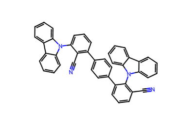 N#Cc1cccc(-c2ccc(-c3cccc(-n4c5ccccc5c5ccccc54)c3C#N)cc2)c1-n1c2ccccc2c2ccccc21